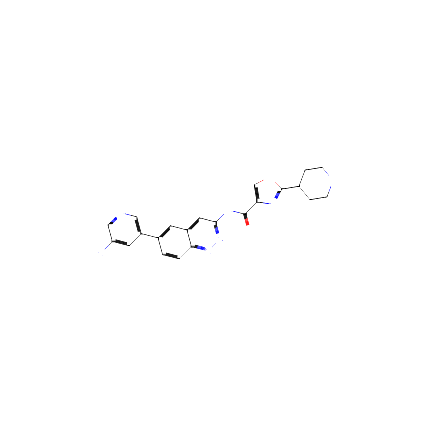 Nc1cncc(-c2ccc3nnc(NC(=O)c4coc(C5CCNCC5)n4)cc3c2)c1